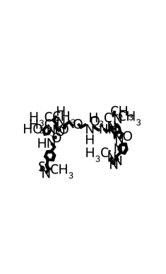 CCn1cnnc1-c1cccc(N2Cc3c(cc(N(C)C(C)C)nc3CNCC(=O)NCCOCCC(=O)N[C@H](C(=O)N3C[C@H](O)C[C@H]3C(=O)NCc3ccc(-c4scnc4C)cc3)C(C)(C)C)C2=O)n1